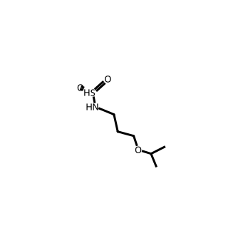 CC(C)OCCCN[SH](=O)=O